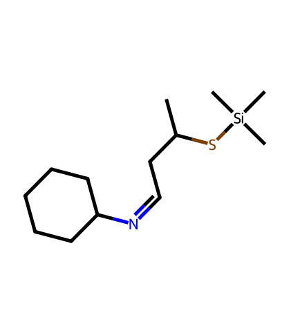 CC(C/C=N\C1CCCCC1)S[Si](C)(C)C